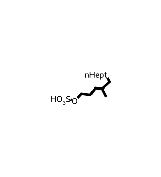 CCCCCCCCC(C)CCCOS(=O)(=O)O